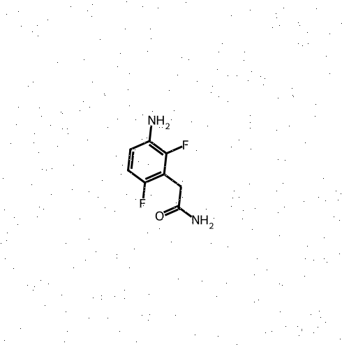 NC(=O)Cc1c(F)ccc(N)c1F